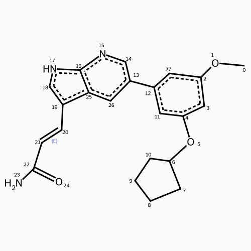 COc1cc(OC2CCCC2)cc(-c2cnc3[nH]cc(/C=C/C(N)=O)c3c2)c1